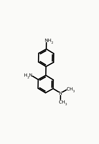 CN(C)c1ccc(N)c(-c2ccc(N)cc2)c1